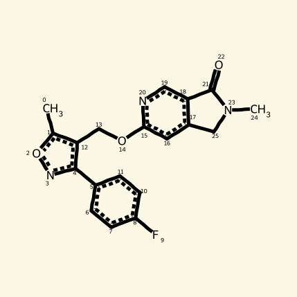 Cc1onc(-c2ccc(F)cc2)c1COc1cc2c(cn1)C(=O)N(C)C2